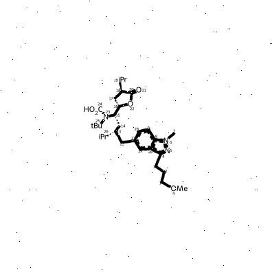 COCCCc1nn(C)c2ccc(C[C@@H](C[C@@H]([C@@H]3C[C@@H](C(C)C)C(=O)O3)N(C(=O)O)C(C)(C)C)C(C)C)cc12